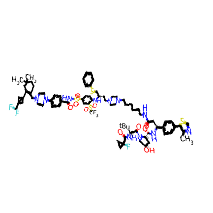 Cc1ncsc1-c1ccc([C@H](CC(=O)NCCCCCCN2CCN(CC[C@H](CSc3ccccc3)Nc3ccc(S(=O)(=O)NC(=O)c4ccc(N5CCN(CC6=C(C78CC(C(F)F)(C7)C8)CC(C)(C)CC6)CC5)cc4)cc3S(=O)(=O)C(F)(F)F)CC2)NC(=O)[C@@H]2C[C@@H](O)CN2C(=O)[C@@H](NC(=O)C2(F)CC2)C(C)(C)C)cc1